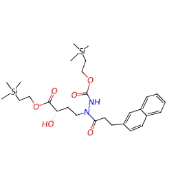 C[Si](C)(C)CCOC(=O)NN(CC[C@H](O)C(=O)OCC[Si](C)(C)C)C(=O)CCc1ccc2ccccc2c1